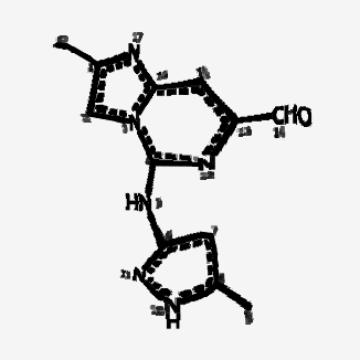 Cc1cn2c(Nc3cc(C)[nH]n3)nc(C=O)cc2n1